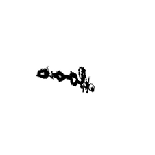 COc1ncc(-c2ccc(C3CC(N4CCC[C@@H]4C)C3)cc2)c(OC)n1